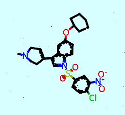 CN1CC=C(c2cn(S(=O)(=O)c3ccc(Cl)c([N+](=O)[O-])c3)c3ccc(OC4CCCCC4)cc23)CC1